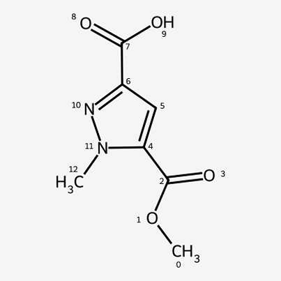 COC(=O)c1cc(C(=O)O)nn1C